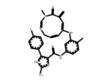 C=C1/C=C(Nc2cc(NC(=O)c3nc(C(F)(F)F)[nH]c3-c3ccc(F)cc3)ccc2C)\C=C/C/N=C\N(C)C1=O